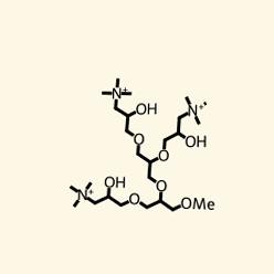 COCC(COCC(O)C[N+](C)(C)C)OCC(COCC(O)C[N+](C)(C)C)OCC(O)C[N+](C)(C)C